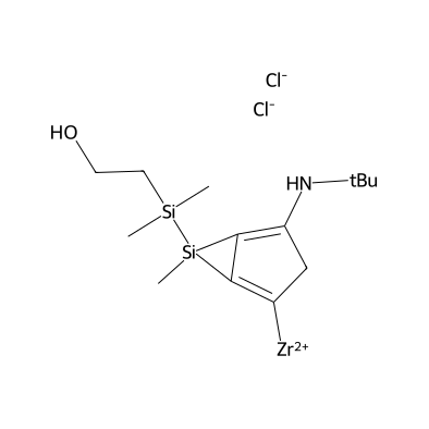 CC(C)(C)NC1=C2C(=[C]([Zr+2])C1)[Si]2(C)[Si](C)(C)CCO.[Cl-].[Cl-]